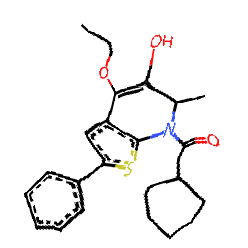 CCOC1=C(O)C(C)N(C(=O)C2CCCCC2)c2sc(-c3ccccc3)cc21